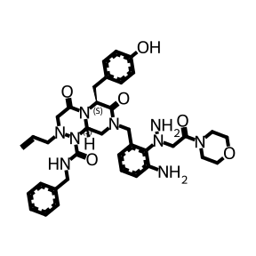 C=CCN1CC(=O)N2[C@@H](Cc3ccc(O)cc3)C(=O)N(Cc3cccc(N)c3N(N)CC(=O)N3CCOCC3)C[C@@H]2N1C(=O)NCc1ccccc1